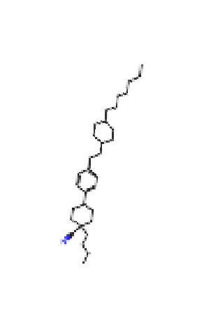 CCCCCCCC1CCC(CCc2ccc(C3CCC(C#N)(CCCC)CC3)cc2)CC1